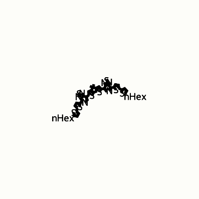 CCCCCCc1ccc(-c2ccc(-c3ncc(-c4cc5c(s4)-c4sc(-c6cnc(-c7ccc(-c8ccc(CCCCCC)s8)s7)c7nsnc67)cc4C5(C)C)c4nsnc34)s2)s1